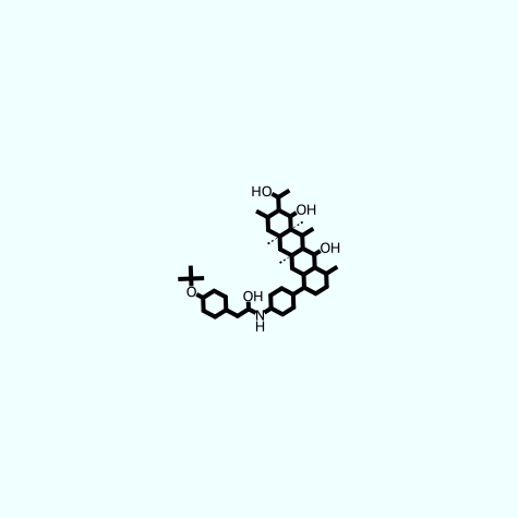 CC(O)C1C(C)C[C@]2(C)C[C@]3(C)CC4C(C5CCC(NC(O)CC6CCC(OC(C)(C)C)CC6)CC5)CCC(C)C4C(O)C3C(C)[C@]2(C)C1O